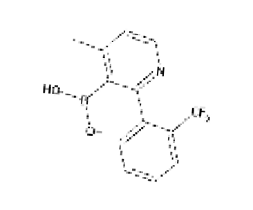 Cc1ccnc(-c2ccccc2C(F)(F)F)c1B(O)O